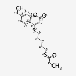 CCC(=O)SCCCCCSc1cc(=O)oc2cc(CC)ccc12